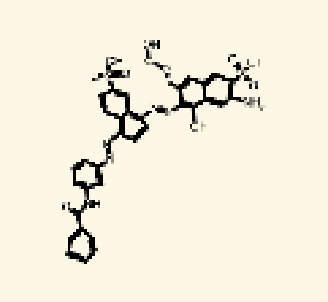 Nc1cc2c(O)c(N=Nc3ccc(N=Nc4cccc(NC(=O)c5ccccc5)c4)c4ccc(S(=O)(=O)O)cc34)c(SOOO)cc2cc1S(=O)(=O)O